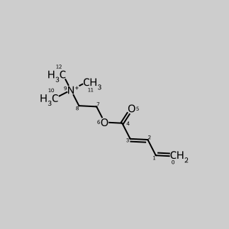 C=CC=CC(=O)OCC[N+](C)(C)C